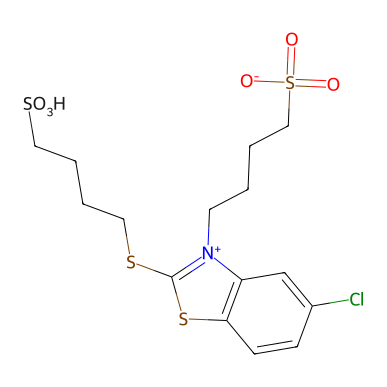 O=S(=O)([O-])CCCC[n+]1c(SCCCCS(=O)(=O)O)sc2ccc(Cl)cc21